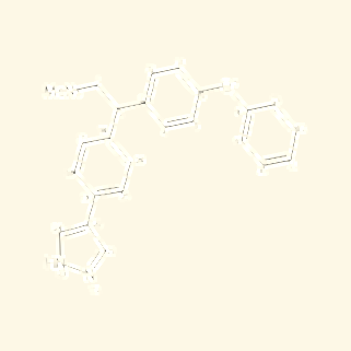 CNCC(c1ccc(Oc2ccccc2)cc1)c1ccc(-c2cn[nH]c2)cc1